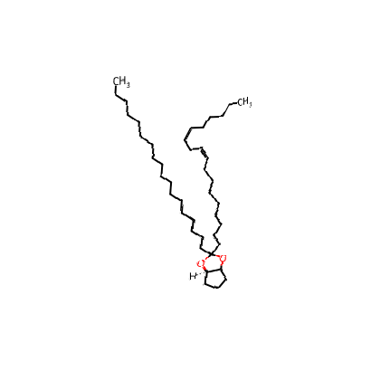 CCCCC/C=C\C/C=C\CCCCCCCCC1(CCCCCCCCCCCCCCCCCC)OC2CCC[C@H]2O1